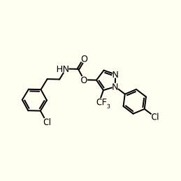 O=C(NCCc1cccc(Cl)c1)Oc1cnn(-c2ccc(Cl)cc2)c1C(F)(F)F